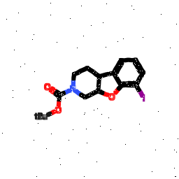 CC(C)(C)OC(=O)N1CCC2c3cccc(I)c3OC2C1